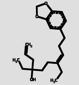 C=CCC(O)(CC)CCC(=CCCc1ccc2c(c1)OCO2)CC